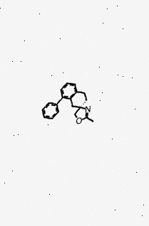 CC1=N[C@@]2(CCc3cccc(-c4ccccc4)c3C2)CO1